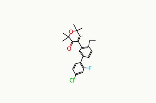 CCc1ccc(-c2ccc(Cl)cc2F)cc1C1=[C]C(C)(C)OC(C)(C)C1=O